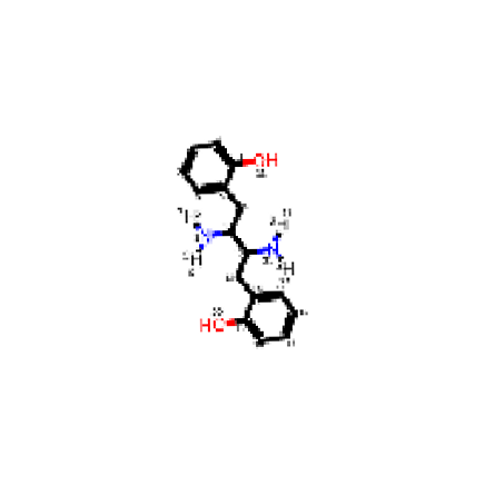 [2H]N([2H])C(Cc1ccccc1O)C(Cc1ccccc1O)N([2H])[2H]